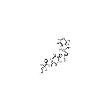 CCC(C)(C)C(=O)Oc1ccc(OC(C)OC2Cc3ccccc3C2)cc1